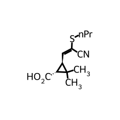 CCCS/C(C#N)=C/[C@@H]1[C@@H](C(=O)O)C1(C)C